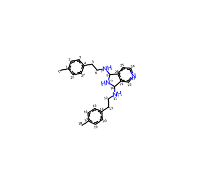 Cc1ccc(CCNC2NC(NCCc3ccc(C)cc3)c3cnccc32)cc1